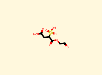 O=CCOC(=O)C(CC(=O)O)S(=O)(=O)O